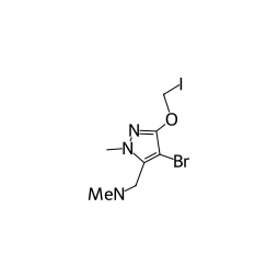 CNCc1c(Br)c(OCI)nn1C